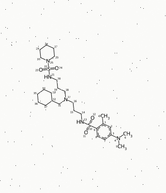 Cc1cc(N(C)C)ccc1S(=O)(=O)NCCCN(CCCNS(=O)(=O)N1CCCCC1)CC1CCCCC1